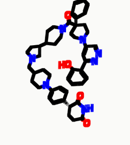 O=C1CC[C@H](c2ccc(N3CCC(CN4CCC(C5CCN(C(=O)C6(c7ccccc7)CCN(c7cnnc(-c8ccccc8O)c7)CC6)CC5)C4)CC3)cc2)C(=O)N1